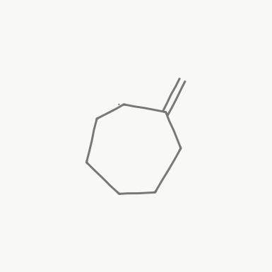 C=C1[CH]CCCCC1